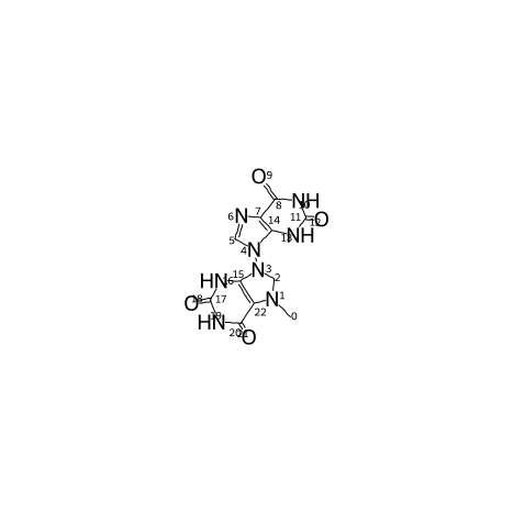 CN1CN(n2cnc3c(=O)[nH]c(=O)[nH]c32)c2[nH]c(=O)[nH]c(=O)c21